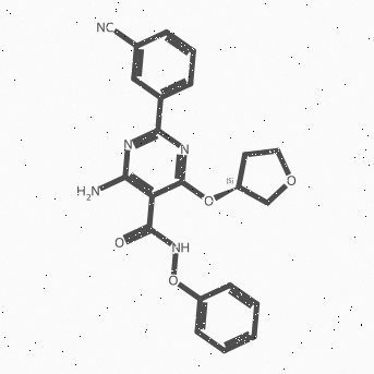 N#Cc1cccc(-c2nc(N)c(C(=O)NOc3ccccc3)c(O[C@H]3CCOC3)n2)c1